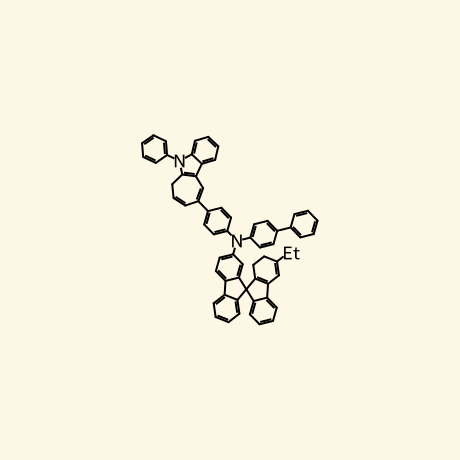 CCC1=CC2=C(CC1)C1(c3ccccc32)c2ccccc2-c2ccc(N(c3ccc(C4=Cc5c(n(-c6ccccc6)c6ccccc56)CC=C4)cc3)c3ccc(-c4ccccc4)cc3)cc21